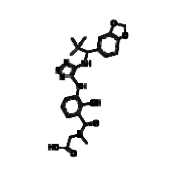 CN(CC(=O)O)C(=O)c1cccc(Nc2nsnc2NC(c2ccc3c(c2)OCO3)C(C)(C)C)c1O